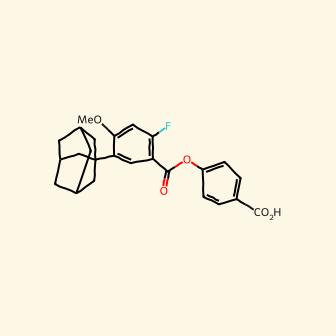 COc1cc(F)c(C(=O)Oc2ccc(C(=O)O)cc2)cc1C12CC3CC(CC(C3)C1)C2